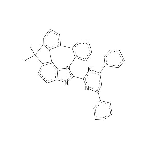 CC1(C)c2cccc3c2-c2c1ccc1nc(-c4nc(-c5ccccc5)cc(-c5ccccc5)n4)n(c21)-c1ccccc1-3